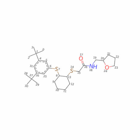 CC(C)(C)c1cc(SC2CCCCC2SCC(=O)NCC2CCCO2)cc(C(C)(C)C)c1